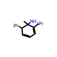 CC(C)C1=CC=CC(C(C)C)C1(C)N